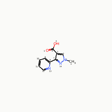 Cn1cc(C(=O)O)c(-c2ccccn2)n1